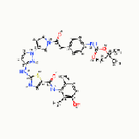 Cc1ccc(O)c(C)c1NC(=O)c1cnc(Nc2ccn([C@@H]3CCN(C(=O)Cc4ccc(NC(=O)OC(C)(C)C)cc4)C3)n2)s1